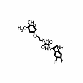 Cc1ccc(OCCNC(=O)C(=O)Nc2c[nH]c3cc(F)c(F)cc23)cc1C